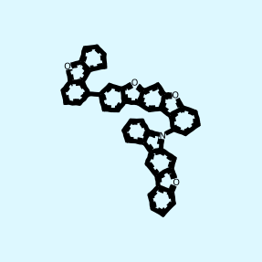 c1ccc2c(c1)oc1cc3c(cc12)c1ccccc1n3-c1cccc2oc3cc4oc5cc(-c6cccc7oc8ccccc8c67)ccc5c4cc3c12